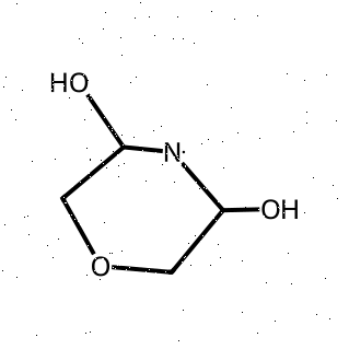 OC1COCC(O)[N]1